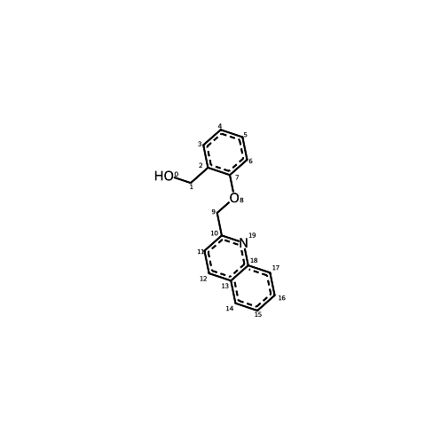 OCc1ccccc1OCc1ccc2ccccc2n1